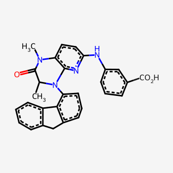 CC1C(=O)N(C)c2ccc(Nc3cccc(C(=O)O)c3)nc2N1c1cccc2c1-c1ccccc1C2